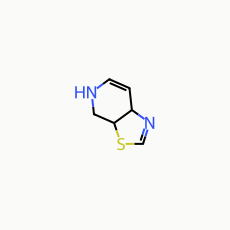 C1=CC2N=CSC2CN1